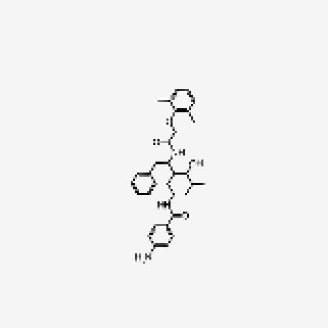 Cc1cccc(C)c1OCC(=O)NC(Cc1ccccc1)C(CCNC(=O)c1ccc(N)cc1)C(O)C(C)C